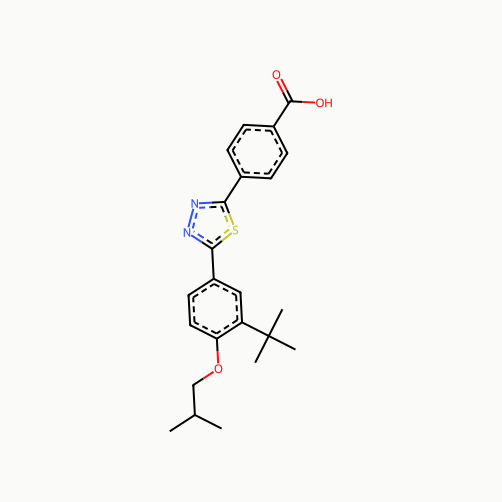 CC(C)COc1ccc(-c2nnc(-c3ccc(C(=O)O)cc3)s2)cc1C(C)(C)C